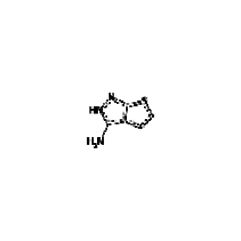 Nc1[nH]nc2sccc12